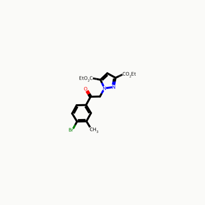 CCOC(=O)c1cc(C(=O)OCC)n(CC(=O)c2ccc(Br)c(C)c2)n1